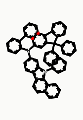 c1ccc(-c2ccccc2N(c2ccc3c(c2)C(c2ccccc2)(c2ccccc2)c2ccccc2-3)c2ccc3c4ccc5ccccc5c4n(-c4ccccc4)c3c2)cc1